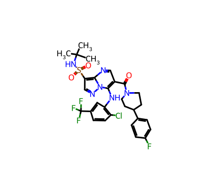 CC(C)(C)NS(=O)(=O)c1cnn2c(Nc3cc(C(F)(F)F)ccc3Cl)c(C(=O)N3CCC(c4ccc(F)cc4)CC3)cnc12